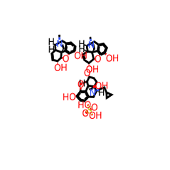 CN1CC[C@@]23c4c5ccc(O)c4OC2[C@H](O)C=C[C@@H]3[C@@H]1C5.CN1CC[C@@]23c4c5ccc(O)c4OC2[C@H](O)C=C[C@@H]3[C@@H]1C5.O=C1CC[C@@]2(O)[C@H]3Cc4ccc(O)c5c4[C@@]2(CCN3CC2CC2)[C@H]1O5.O=S(=O)(O)O